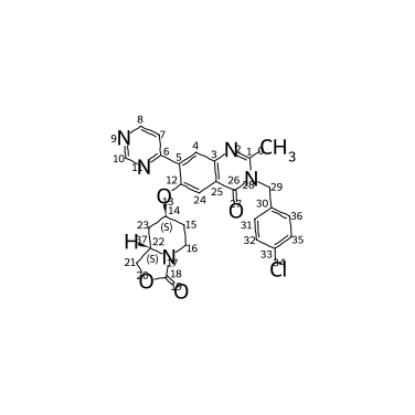 Cc1nc2cc(-c3ccncn3)c(O[C@H]3CCN4C(=O)OC[C@@H]4C3)cc2c(=O)n1Cc1ccc(Cl)cc1